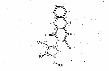 CO[C@@H]1[C@H](O)[C@@H](CO)O[C@H]1n1c(=O)nc2[nH]c3ccccc3nc-2c1=O